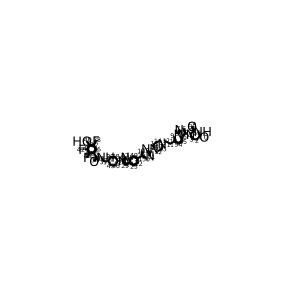 O=C1CCN(c2cnn3cc(CCN4CCN(c5ncc(-c6ccc7cn([C@H]8CC[C@H](CNC(=O)c9cc(F)c(O)c(F)c9F)CC8)nc7c6)cn5)CC4)ccc23)C(=O)N1